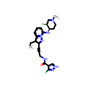 CN1CC[C@@H](Nc2cccc3c(CC(F)(F)F)c(C#CCNC(=O)c4c[nH]nc4F)nn23)[C@@H](F)C1